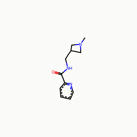 CN1CC(CNC(=O)c2ccccn2)C1